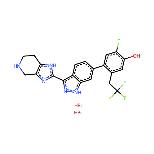 Br.Br.Oc1cc(CC(F)(F)F)c(-c2ccc3c(-c4nc5c([nH]4)CCNC5)n[nH]c3c2)cc1F